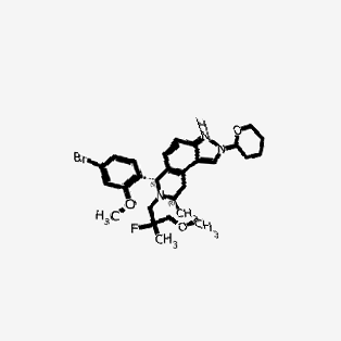 COCC(C)(F)CN1[C@H](C)CC2=C(C=CC3NN(C4CCCCO4)C=C23)[C@H]1c1ccc(Br)cc1OC